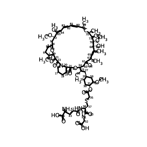 CO[C@H]1C[C@@H]2CC[C@@H](C)[C@@H](O2)C(=O)C(=O)N2CCCC[C@H]2C(=O)OC([C@H](C)C[C@@H]2CC[C@@H](OC(=O)CSC[C@H](NC(=O)CC[C@H](N)C(=O)O)C(=O)NCC(=O)O)[C@H](OC)C2)CC(=O)[C@H](C)/C=C(\C)[C@@H](O)[C@@H](OC)C(=O)[C@H](C)C[C@@H](C)\C=C/C=C/C=C/1C